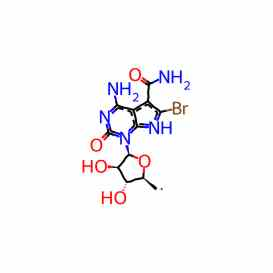 [CH2][C@@H]1O[C@H](n2c(=O)nc(N)c3c(C(N)=O)c(Br)[nH]c32)[C@H](O)[C@H]1O